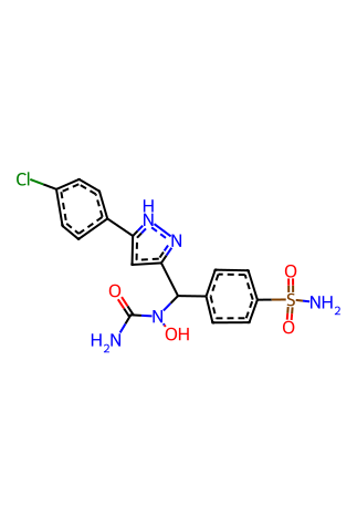 NC(=O)N(O)C(c1ccc(S(N)(=O)=O)cc1)c1cc(-c2ccc(Cl)cc2)[nH]n1